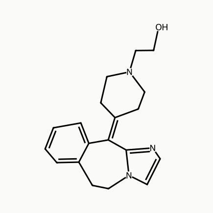 OCCN1CCC(=C2c3ccccc3CCn3ccnc32)CC1